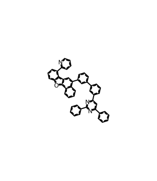 c1ccc(-c2cc(-c3cccc(-c4cccc(-c5cc6c(oc7cccc(-c8ccccn8)c76)c6ccccc56)c4)c3)nc(-c3ccccc3)n2)cc1